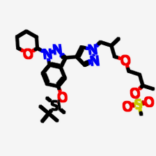 CC(COCCC(C)OS(C)(=O)=O)Cn1cc(-c2nn(C3CCCCO3)c3ccc(O[Si](C)(C)C(C)(C)C)cc23)cn1